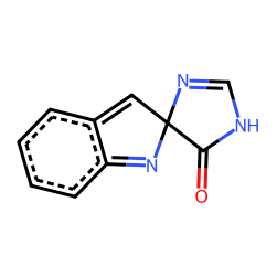 O=C1NC=NC12C=c1ccccc1=N2